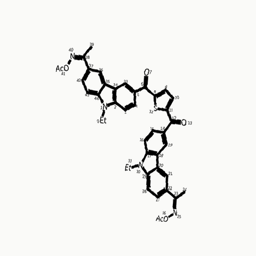 CCn1c2ccc(C(=O)c3ccc(C(=O)c4ccc5c(c4)c4cc(/C(C)=N\OC(C)=O)ccc4n5CC)s3)cc2c2cc(/C(C)=N\OC(C)=O)ccc21